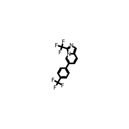 FC(F)(F)c1ccc(-c2ccc3cnc(C(F)(F)F)n3c2)cc1